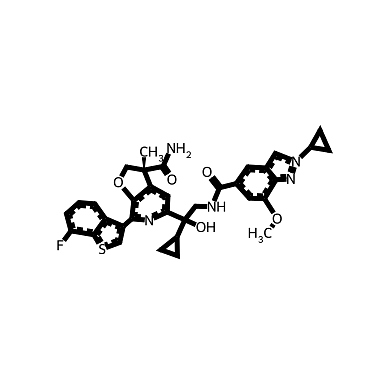 COc1cc(C(=O)NCC(O)(c2cc3c(c(-c4csc5c(F)cccc45)n2)OC[C@]3(C)C(N)=O)C2CC2)cc2cn(C3CC3)nc12